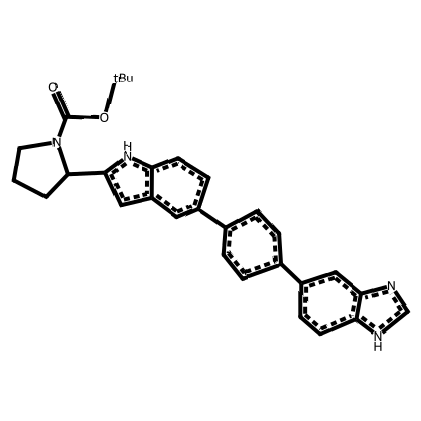 CC(C)(C)OC(=O)N1CCCC1c1cc2cc(-c3ccc(-c4ccc5[nH]cnc5c4)cc3)ccc2[nH]1